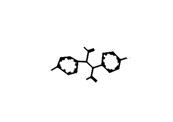 Nc1ccc(C(C(=O)O)C(C(=O)O)c2ccc(O)cc2)cc1